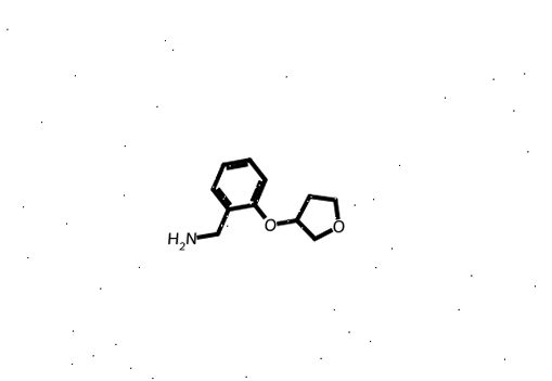 NCc1ccccc1OC1CCOC1